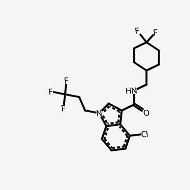 O=C(NCC1CCC(F)(F)CC1)c1cn(CCC(F)(F)F)c2cccc(Cl)c12